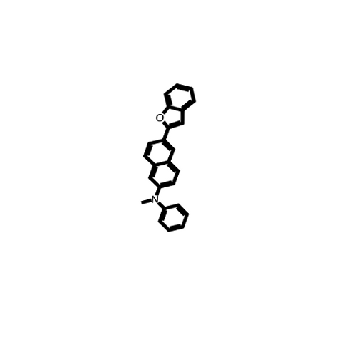 CN(c1ccccc1)c1ccc2cc(-c3cc4ccccc4o3)ccc2c1